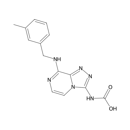 Cc1cccc(CNc2nccn3c(NC(=O)O)nnc23)c1